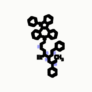 C\C=C(/C=C(\C=C\c1ccccc1)C(=C/C=C\CN1c2ccccc2-c2c(n(-c3ccccc3)c3ccccc23)-c2ccccc21)/CC)c1ccccc1